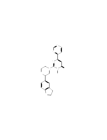 Cn1c(N2CCOC(c3ccc4c(c3)CCO4)C2)nc(-c2ccncn2)cc1=O